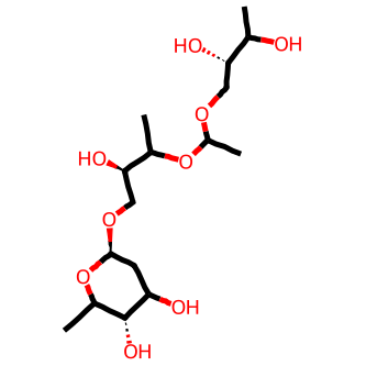 CC(OC[C@H](O)C(C)O)OC(C)[C@H](O)CO[C@H]1CC(O)[C@H](O)C(C)O1